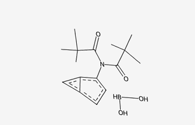 CC(C)(C)C(=O)N(C(=O)C(C)(C)C)c1ccc2cc1-2.OBO